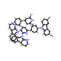 Cc1ccc2c(c1)c1cc(C)ccc1n2-c1ccc(-c2cc(-c3ccccc3-c3cc(C)nc(C)c3)c(-n3c4ccccc4c4cccnc43)c(-n3c4ccccc4c4cccnc43)n2)cc1